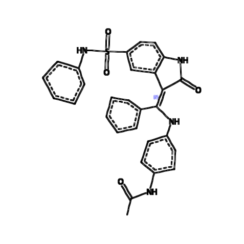 CC(=O)Nc1ccc(N/C(=C2\C(=O)Nc3ccc(S(=O)(=O)Nc4ccccc4)cc32)c2ccccc2)cc1